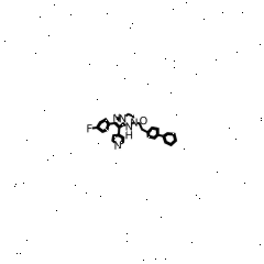 O=C(Cc1ccc(-c2ccccc2)cc1)N1CCn2nc(-c3ccc(F)cc3)c(-c3ccncc3)c2N1